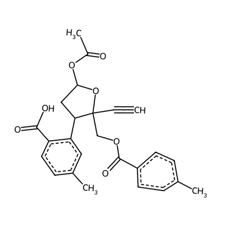 C#CC1(COC(=O)c2ccc(C)cc2)OC(OC(C)=O)CC1c1cc(C)ccc1C(=O)O